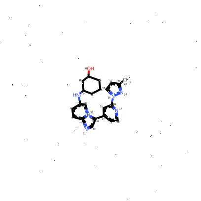 OC1CCCC(Nc2ccc3ncc(-c4ccnc(-n5ccc(C(F)(F)F)n5)c4)n3c2)C1